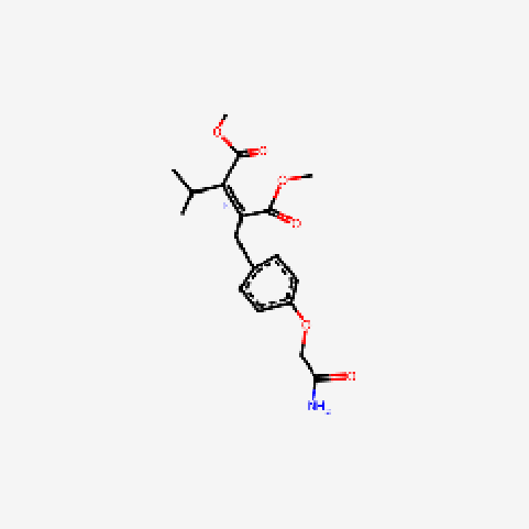 COC(=O)/C(Cc1ccc(OCC(N)=O)cc1)=C(\C(=O)OC)C(C)C